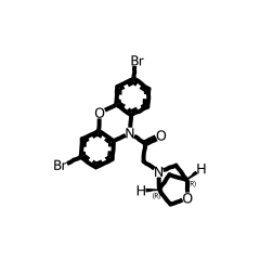 O=C(CN1C[C@H]2C[C@@H]1CO2)N1c2ccc(Br)cc2Oc2cc(Br)ccc21